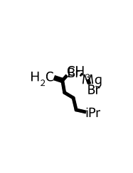 [Br][Mg][Br].[CH2]C(C)CCCC(=C)C